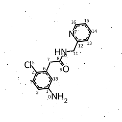 Nc1ccc(Cl)c(CC(=O)NCc2ccccn2)c1